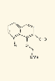 CCc1cccc2ccc(C=O)c(OCOC)c12